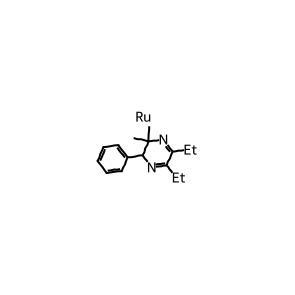 CCC1=NC(c2ccccc2)C(C)(C)N=C1CC.[Ru]